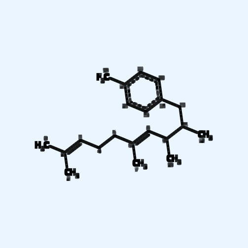 CC(C)=CCC/C(C)=C/C(C)C(C)Cc1ccc(C(F)(F)F)cc1